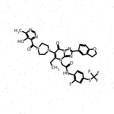 CCc1c(N2CCN(C(=O)c3ncnc(C)c3O)CC2)c(=O)n2nc(-c3ccc4c(c3)CCO4)nc2n1CC(=O)Nc1ccc(SC(F)(F)F)cc1F